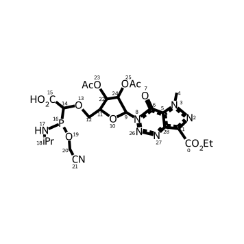 CCOC(=O)c1nn(C)c2c(=O)n(C3OC(COC(C(=O)O)P(NC(C)C)OCC#N)C(OC(C)=O)C3OC(C)=O)nnc12